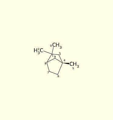 CC1(C)[CH][C@]2(C)CCC1C2